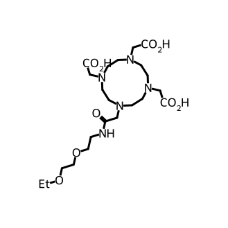 CCOCCOCCNC(=O)CN1CCN(CC(=O)O)CCN(CC(=O)O)CCN(CC(=O)O)CC1